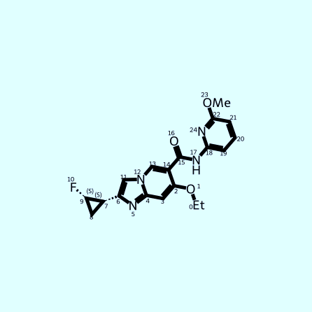 CCOc1cc2nc([C@@H]3C[C@@H]3F)cn2cc1C(=O)Nc1cccc(OC)n1